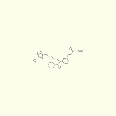 COC(=O)/C=C/c1cccc(N(CCCCCc2nc(C3CC3)no2)C(=O)C2CCCCC2)c1